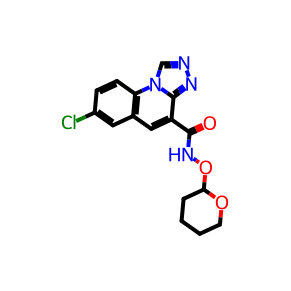 O=C(NOC1CCCCO1)c1cc2cc(Cl)ccc2n2cnnc12